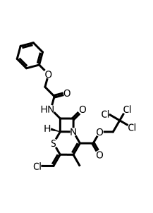 CC1=C(C(=O)OCC(Cl)(Cl)Cl)N2C(=O)C(NC(=O)COc3ccccc3)[C@H]2S/C1=C\Cl